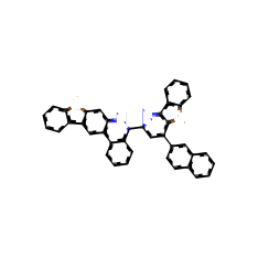 c1ccc2cc(-c3cc(-c4nc5cc6sc7ccccc7c6cc5c5ccccc45)nc4c3sc3ccccc34)ccc2c1